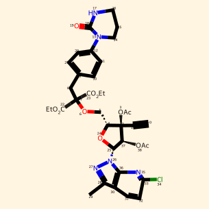 C#C[C@@]1(OC(C)=O)[C@@H](COC(Cc2ccc(N3CCCNC3=O)cc2)(C(=O)OCC)C(=O)OCC)O[C@@H](n2nc(C)c3ccc(Cl)nc32)[C@@H]1OC(C)=O